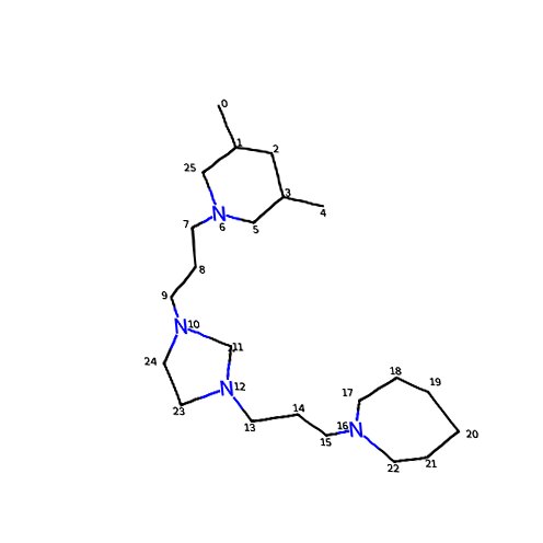 CC1CC(C)CN(CCCN2[C]N(CCCN3CCCCCC3)CC2)C1